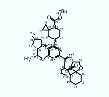 C[C@H](Oc1nc(C(=O)C2CCC[C@@]3(CCCCC34OCCO4)C2=O)nc(N2CCN(C(=O)OC(C)(C)C)C3(CC3)C2)c1F)[C@@H]1C[C@@H](F)CN1C